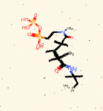 CCCCN(CCP(=O)(O)OP(=O)(O)O)C(=O)C(C)(C)C(C)C(C)(C(=O)NC(C)(C)CS(=O)(=O)O)C(C)C